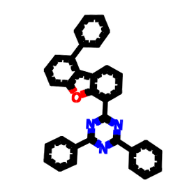 c1ccc(-c2nc(-c3ccccc3)nc(-c3cccc4c3oc3cccc(-c5ccccc5)c34)n2)cc1